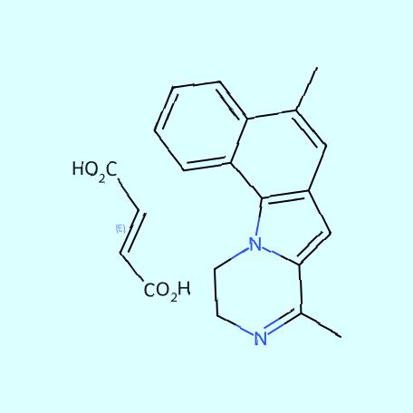 CC1=NCCn2c1cc1cc(C)c3ccccc3c12.O=C(O)/C=C/C(=O)O